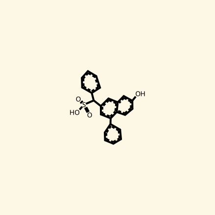 O=S(=O)(O)C(c1ccccc1)c1cc(-c2ccccc2)c2ccc(O)cc2c1